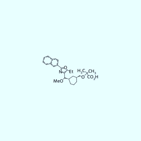 CCc1oc(-c2ccc3ccccc3c2)nc1C(OC)[C@@H]1CCC[C@H](COC(C)(C)C(=O)O)C1